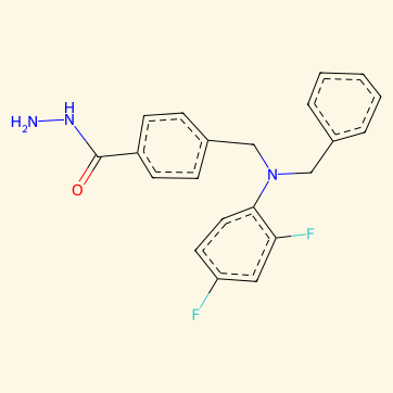 NNC(=O)c1ccc(CN(Cc2ccccc2)c2ccc(F)cc2F)cc1